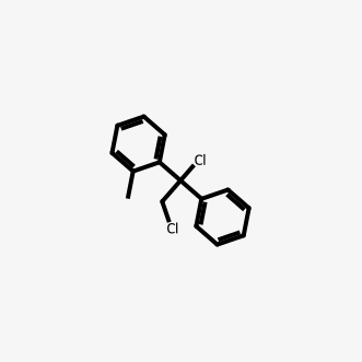 Cc1ccccc1C(Cl)(CCl)c1ccccc1